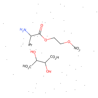 CC(C)C(N)C(=O)OCCO[N+](=O)[O-].O=C(O)C(O)C(O)C(=O)O